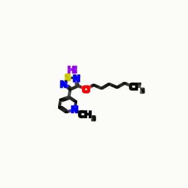 CN1C=CC=C(c2nsnc2OCCCCCC(F)(F)F)C1.I